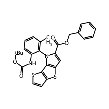 Cc1cccc(NC(=O)OC(C)(C)C)c1-n1c(C(=O)OCc2ccccc2)cc2sc3ccsc3c21